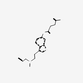 C=CCN(C)CCc1c[nH]c2cc(OC(=O)CCC(=O)O)ccc12